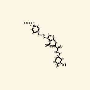 CCOC(=O)c1ccc(COCc2csc3nc(C(=O)NCc4ccc(F)c(Cl)c4)[nH]c(=O)c23)cc1